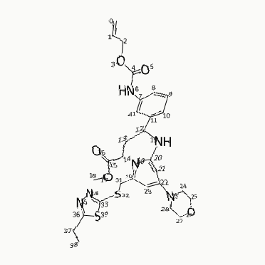 C=CCOC(=O)Nc1cccc(C(CCC(=O)OC)Nc2cc(N3CCOCC3)cc(CSc3nnc(CC)s3)n2)c1